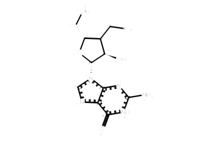 Nc1nc2c(ncn2[C@@H]2O[C@H](CO)C(CF)[C@H]2O)c(=O)[nH]1